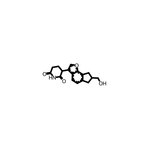 O=C1CCC(c2coc3c4c(ccc23)CC(CO)C4)C(=O)N1